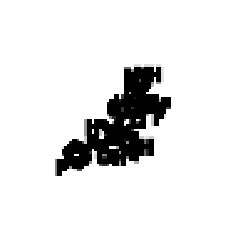 Cc1c(C(=O)Nc2ccc(F)cc2)c2n(c1C(=O)C(=O)NC1(c3c[nH]nn3)CC(F)(F)C1)C[C@H]1C[C@@H]21